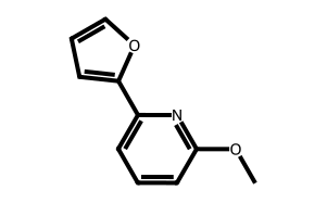 COc1cccc(-c2ccco2)n1